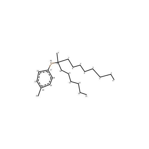 CCCCCCCCC(C)(CCCCCC)Sc1ccc(C)cc1